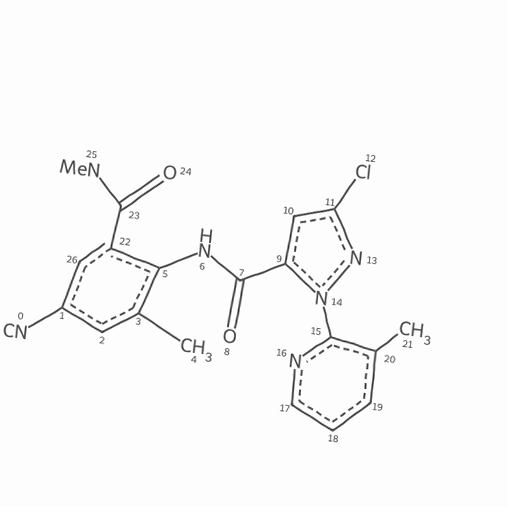 [C-]#[N+]c1cc(C)c(NC(=O)c2cc(Cl)nn2-c2ncccc2C)c(C(=O)NC)c1